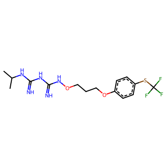 CC(C)NC(=N)NC(=N)NOCCCOc1ccc(SC(F)(F)F)cc1